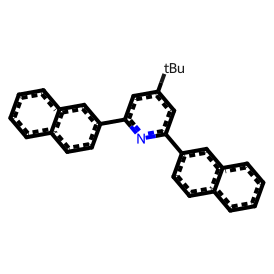 CC(C)(C)c1cc(-c2ccc3ccccc3c2)nc(-c2ccc3ccccc3c2)c1